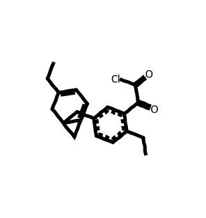 CCC1=CC=C2CC2(Cc2ccc(CC)c(C(=O)C(=O)Cl)c2)C1